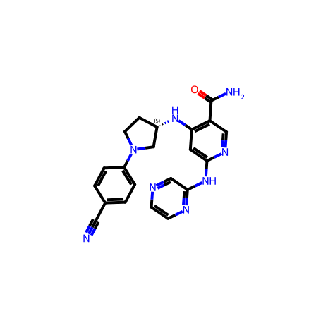 N#Cc1ccc(N2CC[C@H](Nc3cc(Nc4cnccn4)ncc3C(N)=O)C2)cc1